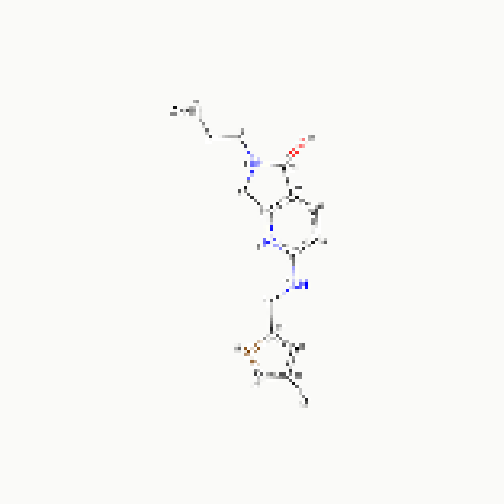 CC(=O)NCCN1Cc2nc(NCc3cc(C)cs3)ccc2C1=O